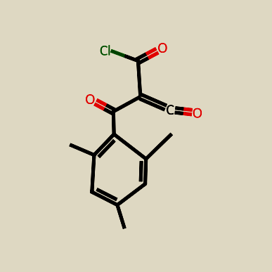 Cc1cc(C)c(C(=O)C(=C=O)C(=O)Cl)c(C)c1